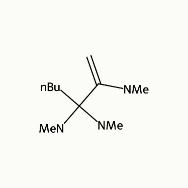 C=C(NC)C(CCCC)(NC)NC